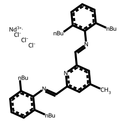 CCCCc1cccc(CCCC)c1N=Cc1cc(C)cc(C=Nc2c(CCCC)cccc2CCCC)n1.[Cl-].[Cl-].[Cl-].[Nd+3]